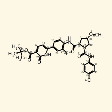 CO[C@@H]1C[C@H](C(=O)Nc2ccc(-c3ccc(C(=O)OC(C)(C)C)c(=O)[nH]3)cc2F)N(C(=O)Nc2ccc(Cl)cc2)C1